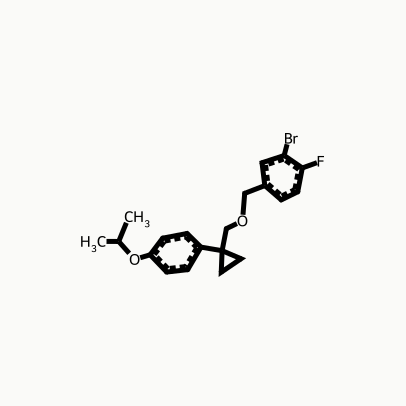 CC(C)Oc1ccc(C2(COCc3ccc(F)c(Br)c3)CC2)cc1